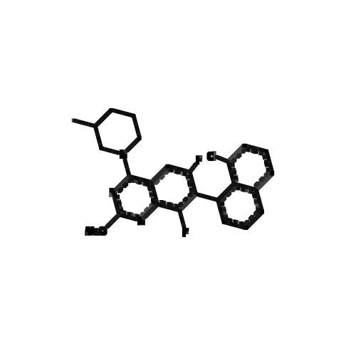 COc1nc(N2CCCC(C)C2)c2cc(F)c(-c3cccc4cccc(Cl)c34)c(F)c2n1